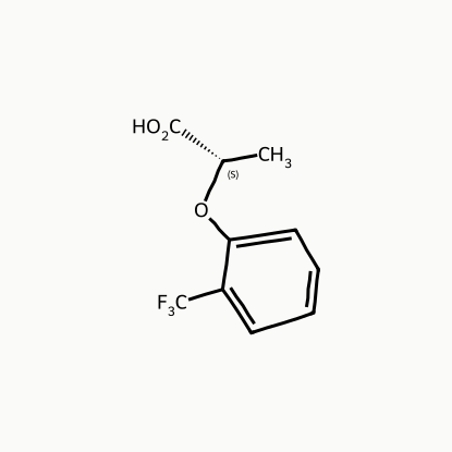 C[C@H](Oc1ccccc1C(F)(F)F)C(=O)O